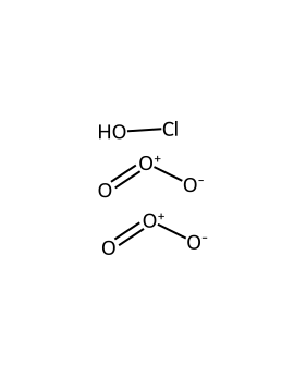 O=[O+][O-].O=[O+][O-].OCl